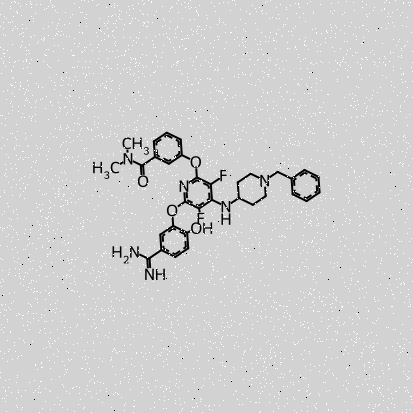 CN(C)C(=O)c1cccc(Oc2nc(Oc3cc(C(=N)N)ccc3O)c(F)c(NC3CCN(Cc4ccccc4)CC3)c2F)c1